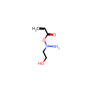 C=CC(=O)ON(N)CCO